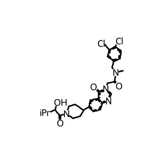 CC(C)C(O)C(=O)N1CCC(c2ccc3ncn(CC(=O)N(C)Cc4ccc(Cl)c(Cl)c4)c(=O)c3c2)CC1